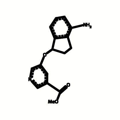 COC(=O)c1cncc(OC2CCc3c(N)cccc32)c1